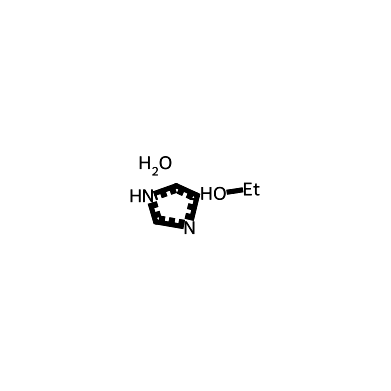 CCO.O.c1c[nH]cn1